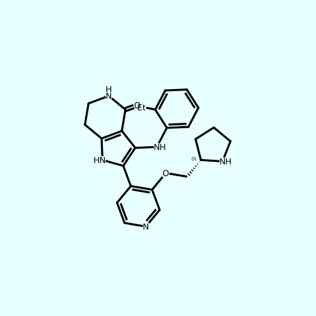 CCc1ccccc1Nc1c(-c2ccncc2OC[C@@H]2CCCN2)[nH]c2c1C(=O)NCC2